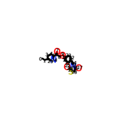 CCc1ccc(C(=O)COc2ccc(CN3C(=O)CSC3=O)cc2)nc1